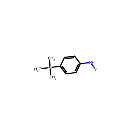 C[Si](C)(C)c1ccc(NF)cc1